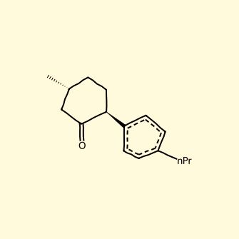 CCCc1ccc([C@@H]2CC[C@@H](C)CC2=O)cc1